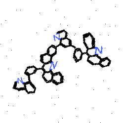 c1cc(-c2cc(-c3ccc4ccc5c(-c6cccc(-c7cccc8cccnc78)c6)c6ccc7ccccc7c6nc5c4c3)c3ncccc3c2)cc(-c2c3ccccc3nc3c2ccc2ccccc23)c1